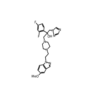 COc1ccc2c(cnn2CCN2CCN(CC(O)(Cn3cncn3)c3ccc(F)cc3F)CC2)c1